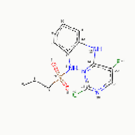 CCCS(=O)(=O)Nc1ccccc1Nc1nc(Cl)ncc1F